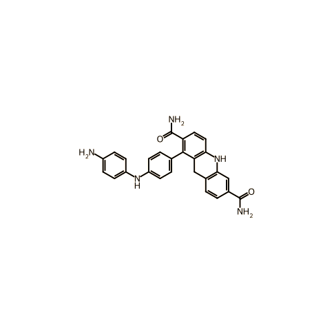 NC(=O)c1ccc2c(c1)Nc1ccc(C(N)=O)c(-c3ccc(Nc4ccc(N)cc4)cc3)c1C2